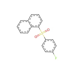 O=S(=O)(c1ccc(F)cc1)c1cccc2ccccc12